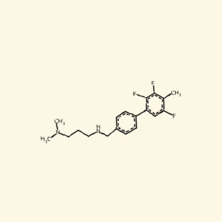 Cc1c(F)cc(-c2ccc(CNCCCN(C)C)cc2)c(F)c1F